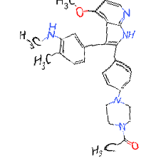 CNc1cc(-c2c(-c3ccc(N4CCN(C(C)=O)CC4)cc3)[nH]c3nccc(OC)c23)ccc1C